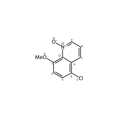 COc1ccc(Cl)c2ccc[n+]([O-])c12